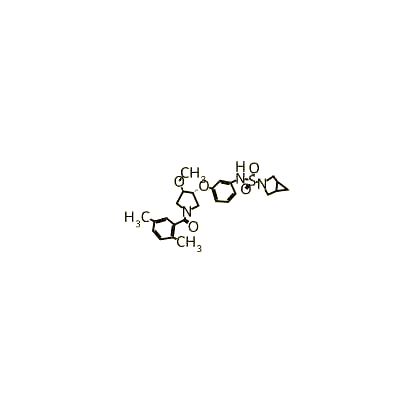 CO[C@@H]1CN(C(=O)c2cc(C)ccc2C)C[C@H]1Oc1cccc(NS(=O)(=O)N2CC3CC3C2)c1